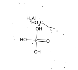 CC(=O)O.O=P(O)(O)O.[AlH3]